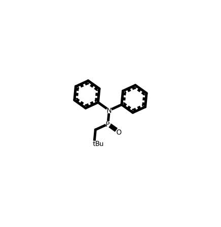 CC(C)(C)C[P](=O)N(c1ccccc1)c1ccccc1